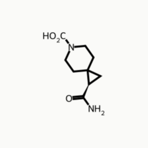 NC(=O)[C@@H]1CC12CCN(C(=O)O)CC2